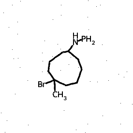 CC1(Br)CCCCC(NP)CCC1